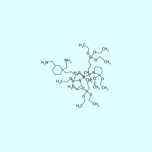 CCOC1(OCC)CCCN1C(CCC[Si](OCC)(OCC)OCC)(CCC[Si](OCC)(OCC)OCC)CCC(CCC1(CN)CCCC(CN)C1)[Si]1(OCC)CCCN1[Si](C)(C)C